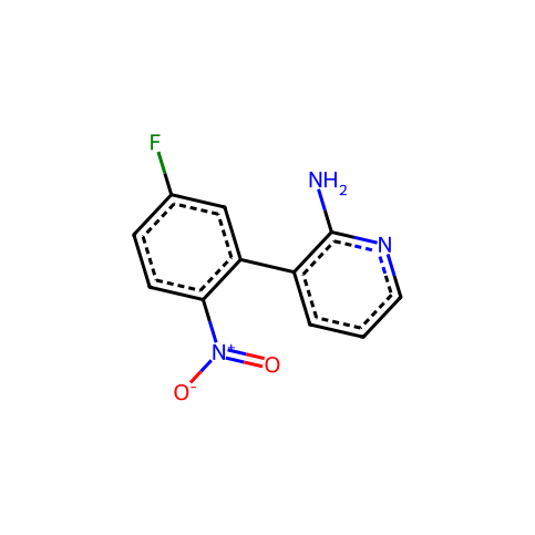 Nc1ncccc1-c1cc(F)ccc1[N+](=O)[O-]